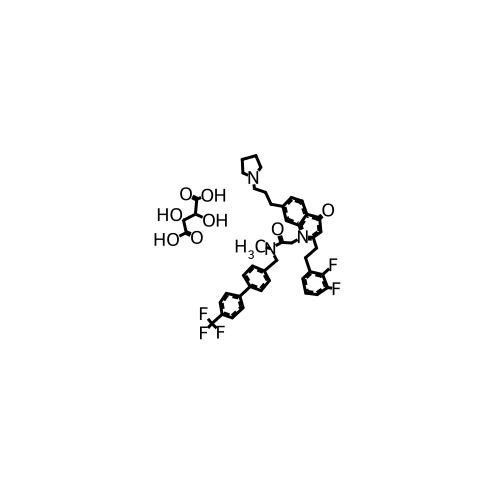 CN(Cc1ccc(-c2ccc(C(F)(F)F)cc2)cc1)C(=O)Cn1c(CCc2cccc(F)c2F)cc(=O)c2ccc(CCCN3CCCC3)cc21.O=C(O)C(O)C(O)C(=O)O